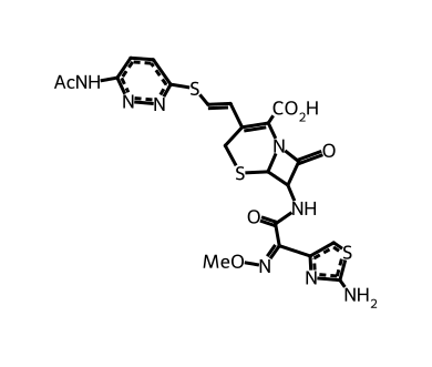 CO/N=C(\C(=O)NC1C(=O)N2C(C(=O)O)=C(/C=C/Sc3ccc(NC(C)=O)nn3)CSC12)c1csc(N)n1